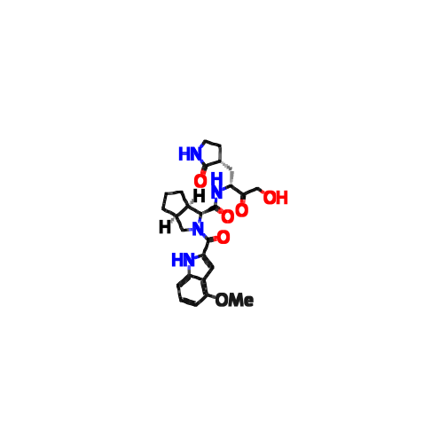 COc1cccc2[nH]c(C(=O)N3C[C@H]4CCC[C@H]4[C@H]3C(=O)N[C@H](C[C@H]3CCNC3=O)C(=O)CO)cc12